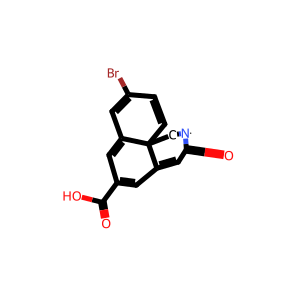 O=C1C=C2C=C(C(=O)O)C=C3C=C(Br)C=CC23C[N]1